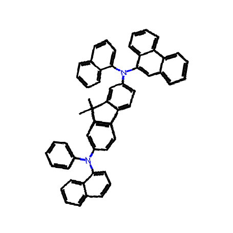 CC1(C)c2cc(N(c3ccccc3)c3cccc4ccccc34)ccc2-c2ccc(N(c3cccc4ccccc34)c3cc4ccccc4c4ccccc34)cc21